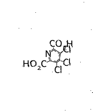 O=C(O)c1nc(C(=O)O)c(Cl)c(Cl)c1Cl